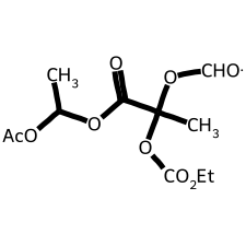 CCOC(=O)OC(C)(O[C]=O)C(=O)OC(C)OC(C)=O